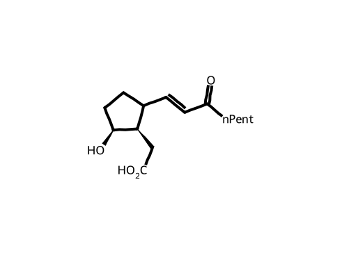 CCCCCC(=O)C=CC1CC[C@H](O)[C@@H]1CC(=O)O